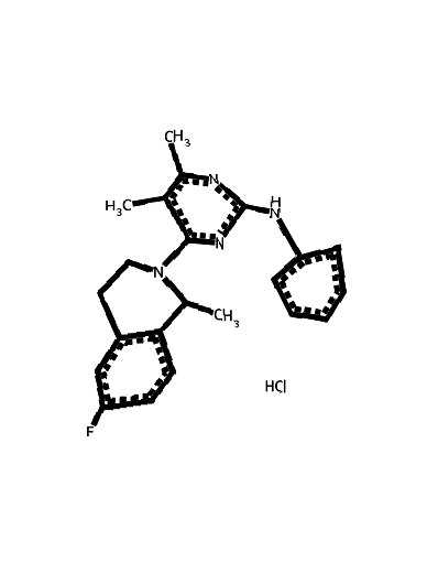 Cc1nc(Nc2ccccc2)nc(N2CCc3cc(F)ccc3C2C)c1C.Cl